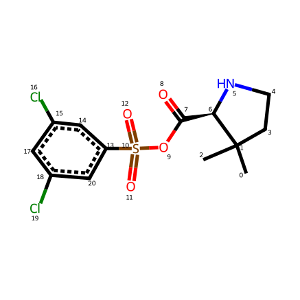 CC1(C)CCN[C@@H]1C(=O)OS(=O)(=O)c1cc(Cl)cc(Cl)c1